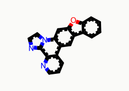 c1ccc2c(c1)oc1cc3c(cc12)c1cccnc1c1nccn31